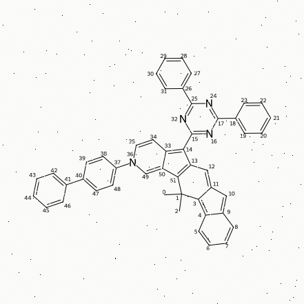 CC1(C)C2=c3ccccc3=CC2=Cc2c(-c3nc(-c4ccccc4)nc(-c4ccccc4)n3)c3ccn(-c4ccc(-c5ccccc5)cc4)cc-3c21